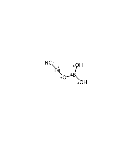 N#[C][Fe][O]B(O)O